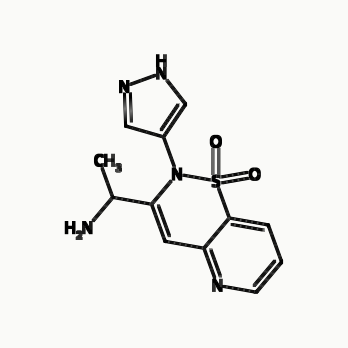 CC(N)C1=Cc2ncccc2S(=O)(=O)N1c1cn[nH]c1